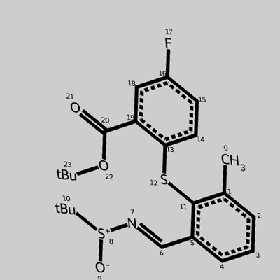 Cc1cccc(C=N[S+]([O-])C(C)(C)C)c1Sc1ccc(F)cc1C(=O)OC(C)(C)C